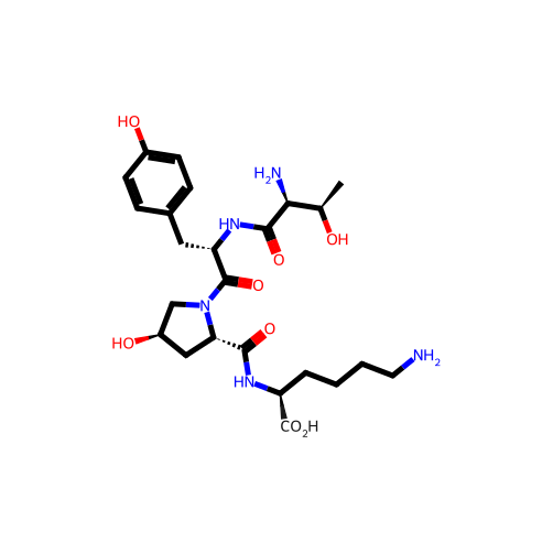 C[C@@H](O)[C@H](N)C(=O)N[C@@H](Cc1ccc(O)cc1)C(=O)N1C[C@H](O)C[C@H]1C(=O)N[C@@H](CCCCN)C(=O)O